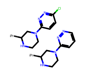 CC(C)C1CN(c2ccc(Cl)nn2)CCN1.CC(C)C1CN(c2cccnn2)CCN1